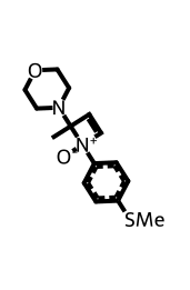 CSc1ccc([N+]2([O-])C=CC2(C)N2CCOCC2)cc1